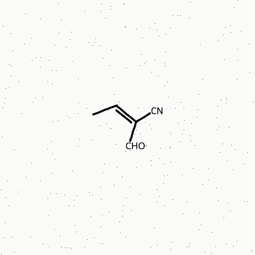 C/C=C(\[C]=O)C#N